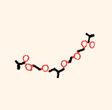 C=C(C)C(=O)OCCOCCOCC(C)CCOCCOC(=O)C(=C)C